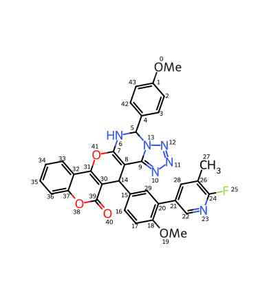 COc1ccc(C2NC3=C(c4nnnn42)C(c2ccc(OC)c(-c4cnc(F)c(C)c4)c2)c2c(c4ccccc4oc2=O)O3)cc1